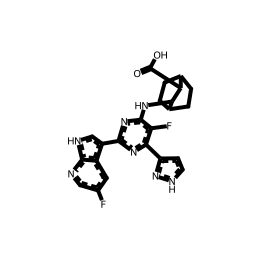 O=C(O)C1C2CCC(CC2)C1Nc1nc(-c2c[nH]c3ncc(F)cc23)nc(-c2cc[nH]n2)c1F